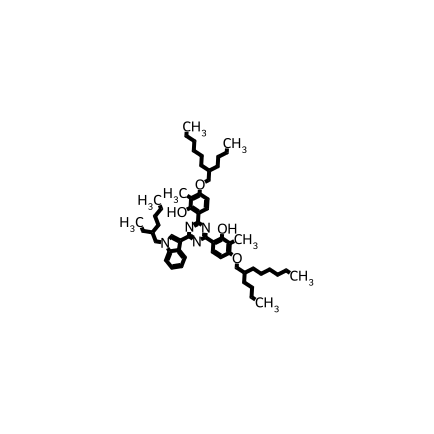 CCCCCCC(CCCC)COc1ccc(-c2nc(-c3ccc(OCC(CCCC)CCCCCC)c(C)c3O)nc(-c3cn(CC(CC)CCCC)c4ccccc34)n2)c(O)c1C